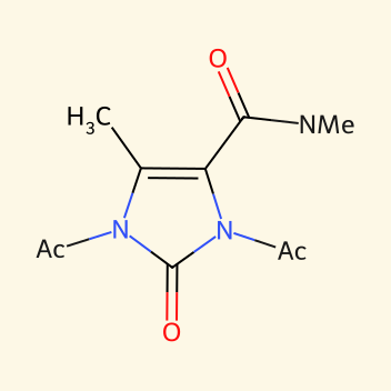 CNC(=O)c1c(C)n(C(C)=O)c(=O)n1C(C)=O